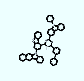 c1ccc(-c2cccc(C3N=C(c4ccc5c(c4)c4ccccc4n5-c4ccccc4)N=C(c4cc(-n5c6ccccc6c6cc7ccccc7cc65)cc5oc6ccccc6c45)N3)c2)cc1